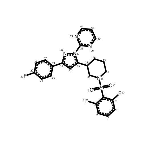 O=S(=O)(c1c(F)cccc1F)N1CCCC(c2cc(-c3ccc(F)cc3)nn2-c2ncccn2)C1